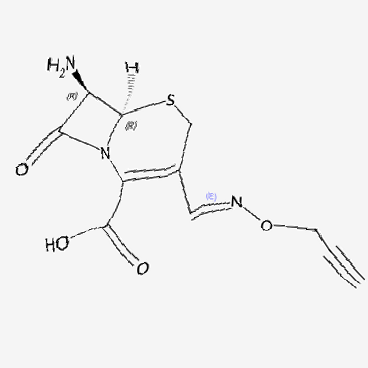 C#CCO/N=C/C1=C(C(=O)O)N2C(=O)[C@@H](N)[C@H]2SC1